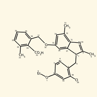 CCOc1cnc(Cn2c(C)nc3c(C)cc(OCc4cccc(C)c4C(=O)O)cc32)c(Cl)c1